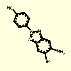 CC(C)c1cc2nn(-c3ccc(C#N)cc3)nc2cc1N